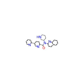 O=C(c1ccc(-c2ccccn2)cn1)N(c1ccc2ccccc2n1)[C@@H]1CCCNC1